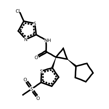 CS(=O)(=O)c1ccc([C@@]2(C(=O)Nc3ncc(Cl)s3)C[C@H]2C2CCCC2)s1